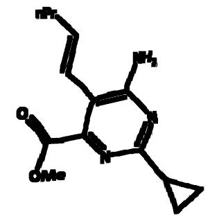 CCC/C=C/c1c(N)nc(C2CC2)nc1C(=O)OC